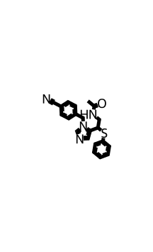 CC(=O)NCC(Sc1ccccc1)c1cncn1Cc1ccc(C#N)cc1